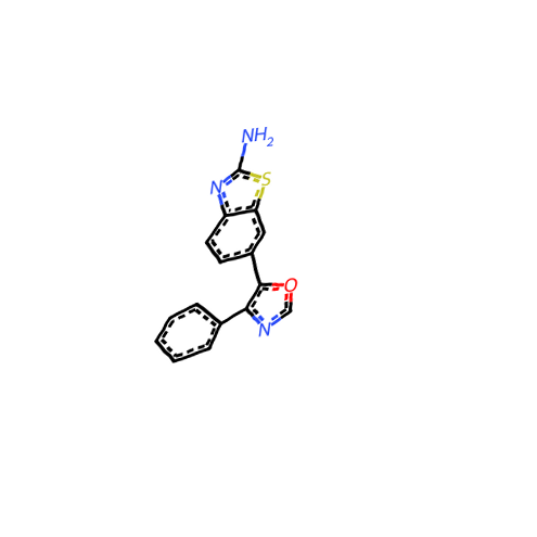 Nc1nc2ccc(-c3ocnc3-c3ccccc3)cc2s1